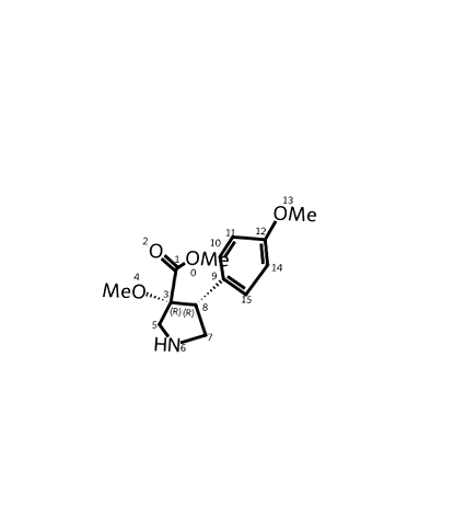 COC(=O)[C@]1(OC)CNC[C@H]1c1ccc(OC)cc1